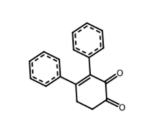 O=C1CCC(c2ccccc2)=C(c2ccccc2)C1=O